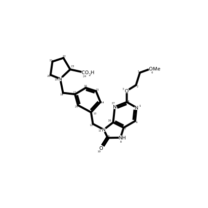 COCCOc1ncc2[nH]c(=O)n(Cc3cccc(CN4CCCC4C(=O)O)c3)c2n1